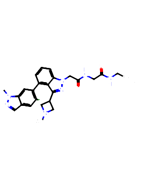 CC(=O)N1CC(c2nn(CC(=O)NCC(=O)NCC(=O)O)c3cccc(-c4cc5c(cnn5C)cc4F)c23)C1